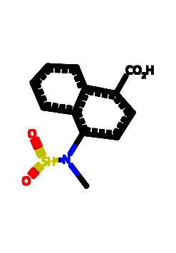 CN(c1ccc(C(=O)O)c2ccccc12)[SH](=O)=O